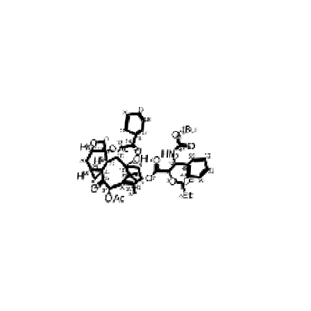 CCC(=O)O[C@@H](C(=O)O[C@H]1C[C@@]2(O)[C@@H](CC(=O)c3ccccc3)[C@@H]3[C@]4(OC(C)=O)CO[C@@H]4C[C@@H]4C[C@@]43C(=O)[C@H](OC(C)=O)C(=C1C)C2(C)C)[C@@H](NC(=O)OC(C)(C)C)c1ccccc1